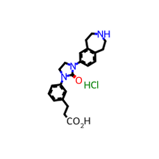 Cl.O=C(O)CCc1cccc(N2CCN(c3ccc4c(c3)CCNCC4)C2=O)c1